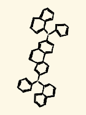 c1ccc(N(c2ccc3c(ccc4cc(N(c5ccccc5)c5cccc6ccccc56)ccc43)c2)c2cccc3ccccc23)cc1